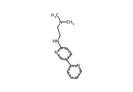 CN(C)CCNc1ccc(-c2ccccn2)cn1